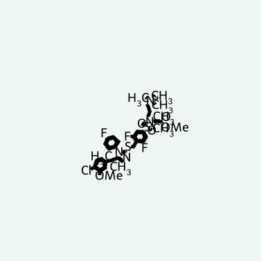 COC(=O)C(C)(C)N(CCC[N+](C)(C)C)S(=O)(=O)c1cc(F)c(CSc2ncc(C(C)(C)c3ccc(Cl)c(OC)c3)n2-c2ccc(F)cc2)c(F)c1